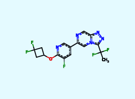 CC(F)(F)c1nnc2cnc(-c3cnc(OC4CC(F)(F)C4)c(F)c3)cn12